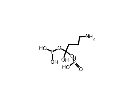 NCCCC(O)(OP(O)O)O[PH](=O)O